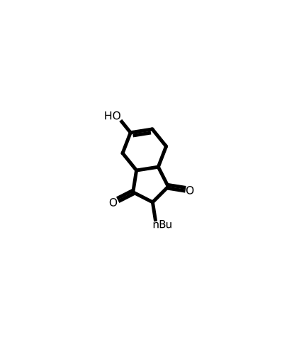 CCCCC1C(=O)C2CC=C(O)CC2C1=O